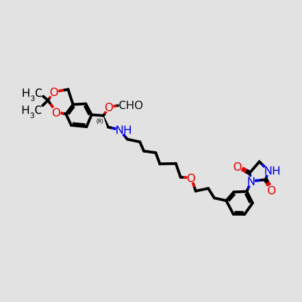 CC1(C)OCc2cc([C@H](CNCCCCCCCOCCCc3cccc(N4C(=O)CNC4=O)c3)OC=O)ccc2O1